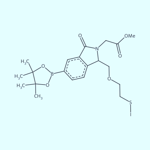 COC(=O)CN1C(=O)c2cc(B3OC(C)(C)C(C)(C)O3)ccc2C1COCCSI